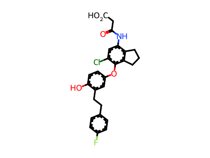 O=C(O)CC(=O)Nc1cc(Cl)c(Oc2ccc(O)c(CCc3ccc(F)cc3)c2)c2c1CCC2